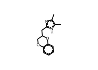 Cc1nc(CC2COc3ccccc3O2)[nH]c1C